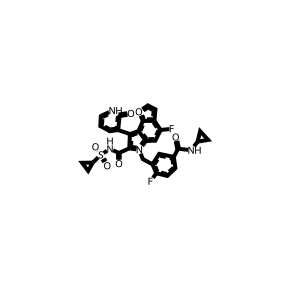 O=C(NC1CC1)c1ccc(F)c(Cn2c(C(=O)NS(=O)(=O)C3CC3)c(-c3ccc[nH]c3=O)c3c4occc4c(F)cc32)c1